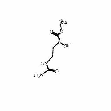 CC(C)(C)OC(=O)N(O)CCNC(N)=O